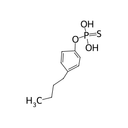 CCCCc1ccc(OP(O)(O)=S)cc1